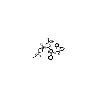 CCOC(=O)N1CCN(C(=O)[C@H](CCC(=O)O)NC(=O)c2cc(OCC(=O)N3CCCC3c3cccs3)n(-c3ccccc3)n2)CC1